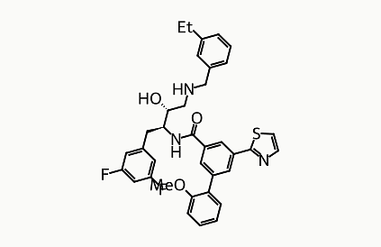 CCc1cccc(CNC[C@@H](O)[C@H](Cc2cc(F)cc(F)c2)NC(=O)c2cc(-c3nccs3)cc(-c3ccccc3OC)c2)c1